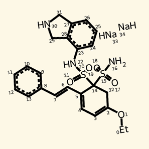 CCOC1=CC=C(C=Cc2ccccc2)C(S(N)(=O)=O)(S(=O)(=O)Nc2cccc3c2CNC3)C1.[NaH].[NaH]